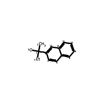 CCC(C)([O])c1ccc2ccccc2c1